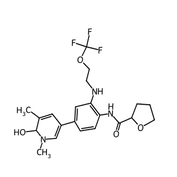 CC1=CC(c2ccc(NC(=O)C3CCCO3)c(NCCOC(F)(F)F)c2)=CN(C)C1O